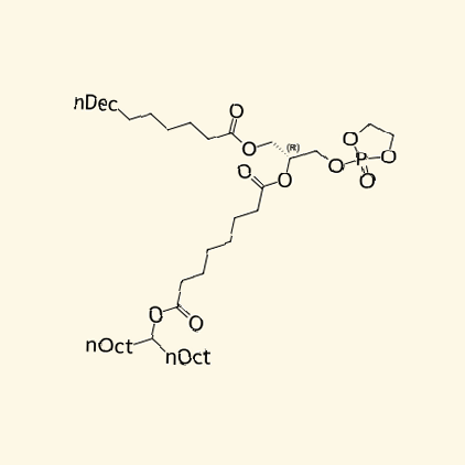 CCCCCCCCCCCCCCCC(=O)OC[C@H](COP1(=O)OCCO1)OC(=O)CCCCCCC(=O)OC(CCCCCCCC)CCCCCCCC